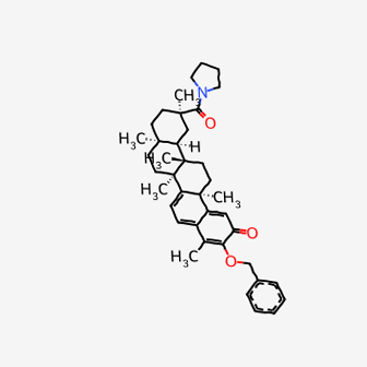 CC1=C(OCc2ccccc2)C(=O)C=C2C1=CC=C1[C@@]2(C)CC[C@@]2(C)[C@@H]3C[C@](C)(C(=O)N4CCCC4)CC[C@]3(C)CC[C@]12C